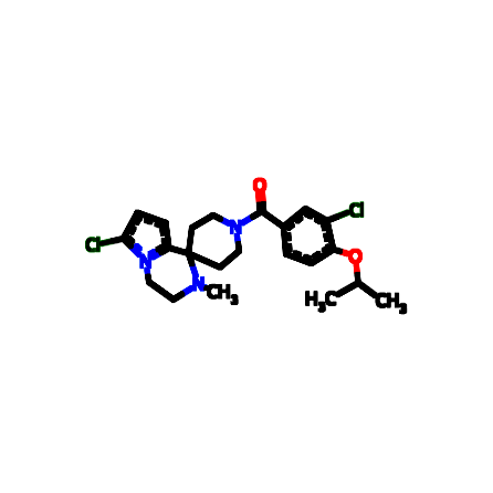 CC(C)Oc1ccc(C(=O)N2CCC3(CC2)c2ccc(Cl)n2CCN3C)cc1Cl